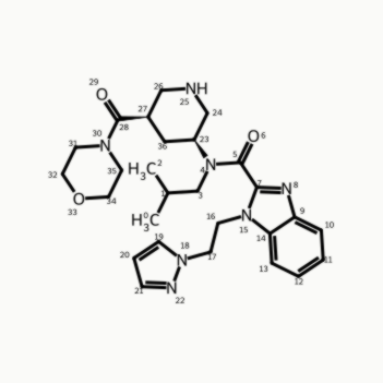 CC(C)CN(C(=O)c1nc2ccccc2n1CCn1cccn1)[C@@H]1CNC[C@H](C(=O)N2CCOCC2)C1